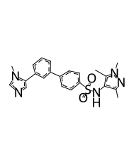 Cc1nn(C)c(C)c1NS(=O)(=O)c1ccc(-c2cccc(-c3cncn3C)c2)cc1